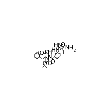 CC(C)OC(=O)N(NC(=O)c1cccc(NN2NOC(N)=C2I)c1)C(Cc1ccccc1)C(=O)O